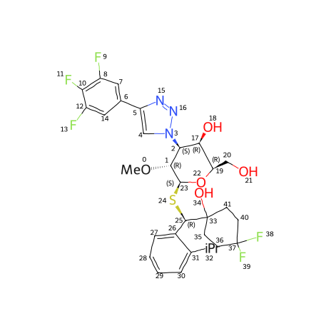 CO[C@@H]1[C@@H](n2cc(-c3cc(F)c(F)c(F)c3)nn2)[C@@H](O)[C@@H](CO)O[C@H]1S[C@H](c1ccccc1C(C)C)C1(O)CCC(F)(F)CC1